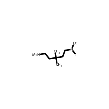 CCN(I)CCC(C)(C)CCNC